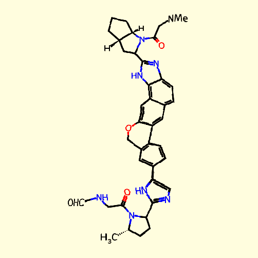 CNCC(=O)N1C(c2nc3ccc4cc5c(cc4c3[nH]2)OCc2cc(-c3cnc(C4CC[C@H](C)N4C(=O)CNC=O)[nH]3)ccc2-5)C[C@@H]2CCC[C@@H]21